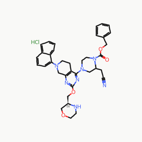 Cl.N#CCC1CN(c2nc(OC[C@@H]3COCCN3)nc3c2CCN(c2cccc4ccccc24)C3)CCN1C(=O)OCc1ccccc1